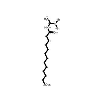 CCCCCCCCCCCCCCCCCCCCCC(=O)NC(C)N(CC)CC